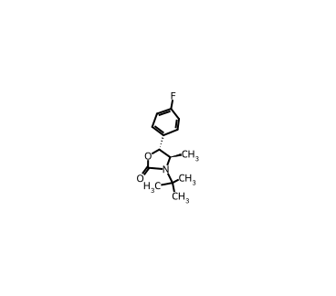 C[C@@H]1[C@@H](c2ccc(F)cc2)OC(=O)N1C(C)(C)C